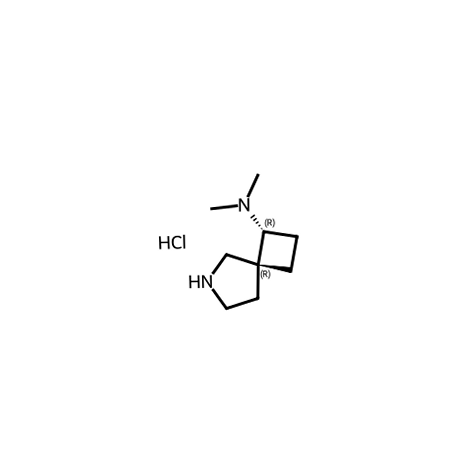 CN(C)[C@@H]1CC[C@]12CCNC2.Cl